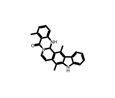 Cc1cccc2c1C(=O)N1C=Cc3c(c(C)c4c([nH]c5ccccc54)c3C)C1N2